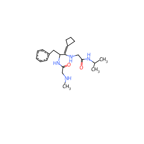 CNCC(=O)NC(Cc1ccccc1)C(NCC(=O)NC(C)C)=C1CCC1